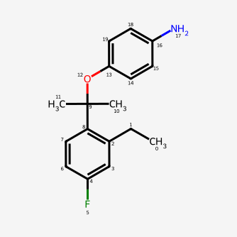 CCc1cc(F)ccc1C(C)(C)Oc1ccc(N)cc1